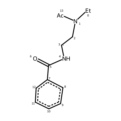 CCN(C[CH]NC(=O)c1ccccc1)C(C)=O